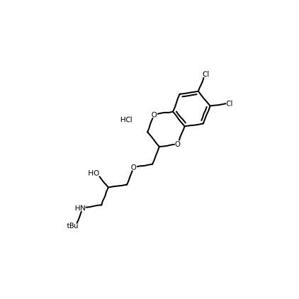 CC(C)(C)NCC(O)COCC1COc2cc(Cl)c(Cl)cc2O1.Cl